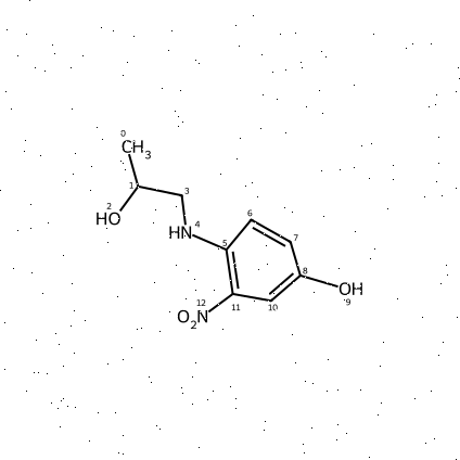 CC(O)CNc1ccc(O)cc1[N+](=O)[O-]